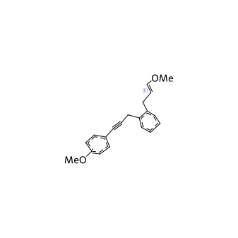 CO/C=C/Cc1ccccc1CC#Cc1ccc(OC)cc1